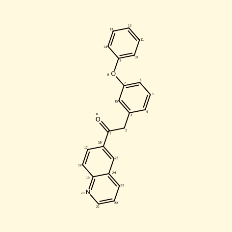 O=C(Cc1cccc(Oc2ccccc2)c1)c1ccc2ncccc2c1